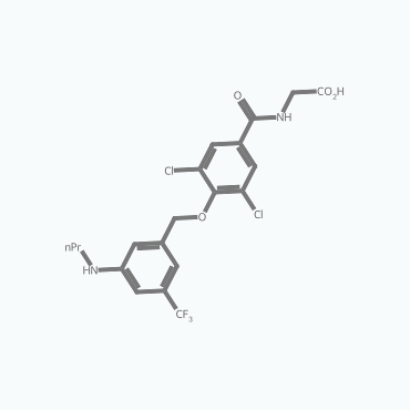 CCCNc1cc(COc2c(Cl)cc(C(=O)NCC(=O)O)cc2Cl)cc(C(F)(F)F)c1